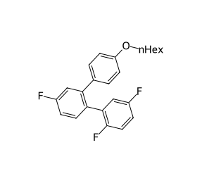 CCCCCCOc1ccc(-c2cc(F)ccc2-c2cc(F)ccc2F)cc1